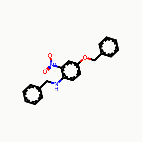 O=[N+]([O-])c1cc(OCc2ccccc2)ccc1NCc1ccccc1